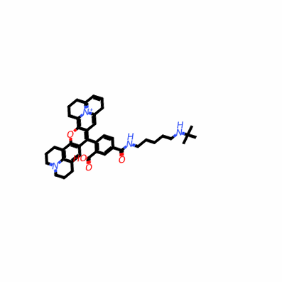 CC(C)(C)NCCCCCNC(=O)c1ccc(C2=c3cc4[n+]5c(c3Oc3c2cc2c6c3CCCN6CCC2)CCCC=5C=CC4)c(C(=O)O)c1